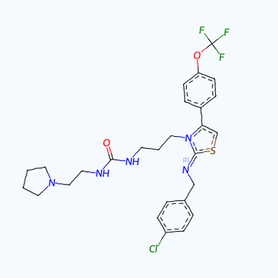 O=C(NCCCn1c(-c2ccc(OC(F)(F)F)cc2)cs/c1=N\Cc1ccc(Cl)cc1)NCCN1CCCC1